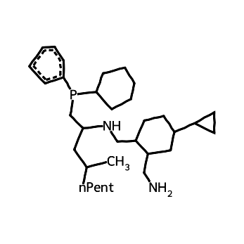 CCCCCC(C)CC(CP(c1ccccc1)C1CCCCC1)NCC1CCC(C2CC2)CC1CN